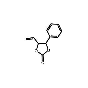 C=CC1OC(=O)OC1c1ccccc1